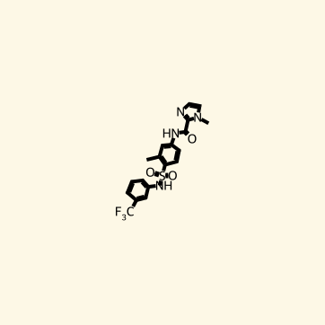 Cc1cc(NC(=O)c2nccn2C)ccc1S(=O)(=O)Nc1cccc(C(F)(F)F)c1